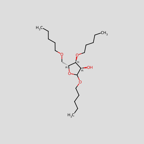 CCCCCOC[C@H]1OC(OCCCCC)[C@H](O)[C@@H]1OCCCCC